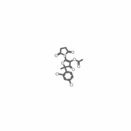 CC(=O)OC1=C(N2C(=O)CCC2=O)OC(C)(c2ccc(Cl)cc2Cl)C1=O